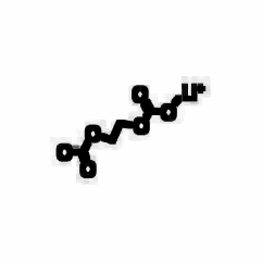 COC(=O)OCCOC(=O)[O-].[Li+]